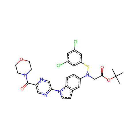 CC(C)(C)OC(=O)CN(Sc1cc(Cl)cc(Cl)c1)c1ccc2c(ccn2-c2cnc(C(=O)N3CCOCC3)cn2)c1